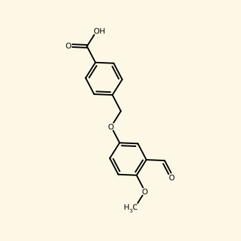 COc1ccc(OCc2ccc(C(=O)O)cc2)cc1C=O